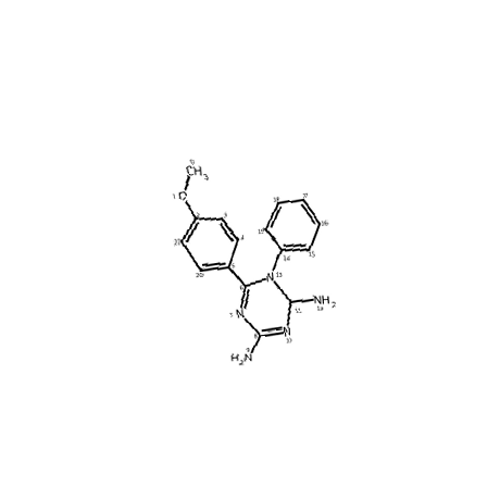 COc1ccc(C2=NC(N)=NC(N)N2c2ccccc2)cc1